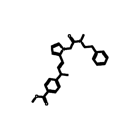 COC(=O)c1ccc(C(C)C=Cc2cccn2CC(=O)N(C)CCc2ccccc2)cc1